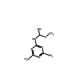 COC(O)Nc1nc(N)nc(N)n1